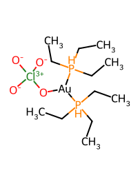 CC[PH](CC)(CC)[Au]([O][Cl+3]([O-])([O-])[O-])[PH](CC)(CC)CC